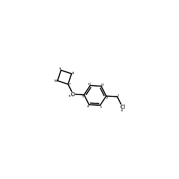 ClCc1ccc(OC2CCC2)cc1